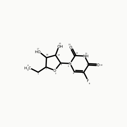 CCC1OC(n2cc(F)c(=O)[nH]c2=O)C(O)C1O